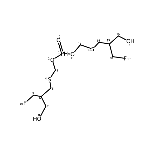 O=[PH](OCSCC(CO)CF)OCSCC(CO)CF